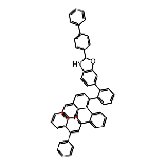 c1ccc(-c2ccc(C3Nc4ccc(-c5ccccc5-c5ccc6ccccc6c5-c5ccccc5-c5cc(-c6ccccc6)c6ccccc6n5)cc4O3)cc2)cc1